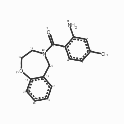 Nc1cc(Cl)ccc1C(=O)N1CCOc2ccccc2C1